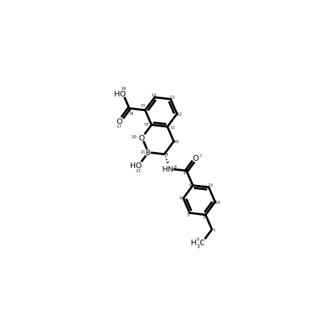 CCc1ccc(C(=O)N[C@H]2Cc3cccc(C(=O)O)c3OB2O)cc1